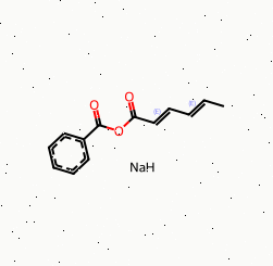 C/C=C/C=C/C(=O)OC(=O)c1ccccc1.[NaH]